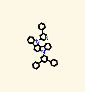 c1ccc(-c2cc(-c3ccccc3)cc(-n3c4ccccc4c4c3ccc3c5ccccc5n(-c5cncc(-c6ccccc6)c5)c34)c2)cc1